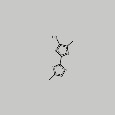 Cc1cnc(-c2nc(O)c(C)s2)s1